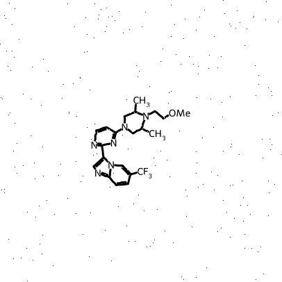 COCCN1C(C)CN(c2ccnc(-c3cnc4ccc(C(F)(F)F)cn34)n2)CC1C